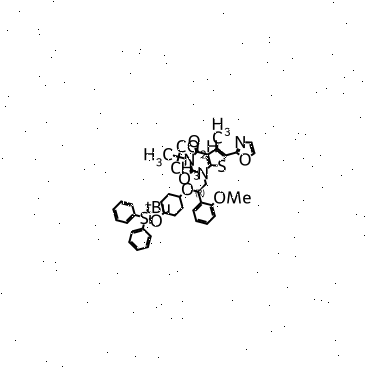 COc1ccccc1[C@H](Cn1c(=O)n(C(C)(C)C(=O)O)c(=O)c2c(C)c(-c3ncco3)sc21)OC1CCC(O[Si](c2ccccc2)(c2ccccc2)C(C)(C)C)CC1